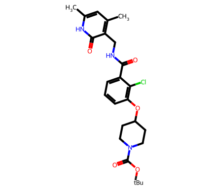 Cc1cc(C)c(CNC(=O)c2cccc(OC3CCN(C(=O)OC(C)(C)C)CC3)c2Cl)c(=O)[nH]1